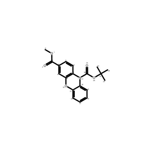 COC(=O)c1ccc2c(c1)Oc1ccccc1N2C(=O)OC(C)(C)C